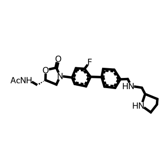 CC(=O)NC[C@H]1CN(c2ccc(-c3ccc(CNCC4CCCN4)cc3)c(F)c2)C(=O)O1